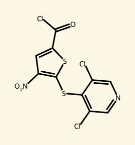 O=C(Cl)c1cc([N+](=O)[O-])c(Sc2c(Cl)cncc2Cl)s1